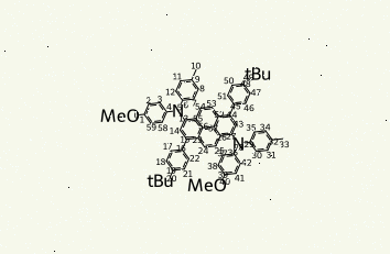 COc1ccc(N(c2ccc(C)cc2)c2cc(-c3ccc(C(C)(C)C)cc3)c3ccc4c(N(c5ccc(C)cc5)c5ccc(OC)cc5)cc(-c5ccc(C(C)(C)C)cc5)c5ccc2c3c54)cc1